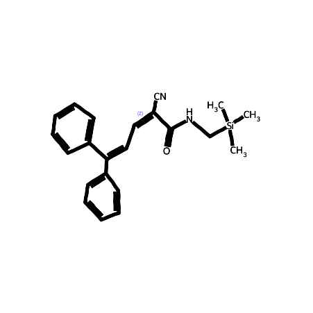 C[Si](C)(C)CNC(=O)/C(C#N)=C\C=C(c1ccccc1)c1ccccc1